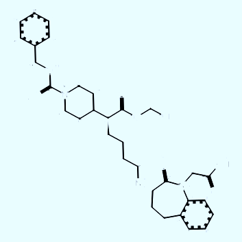 CCOC(=O)[C@@H](CCCCN[C@H]1CCc2ccccc2N(CC(=O)O)C1=O)C1CCN(C(=O)OCc2ccccc2)CC1